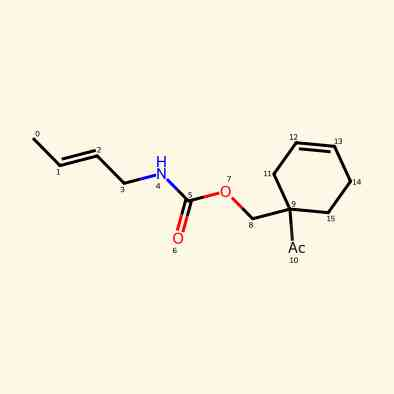 CC=CCNC(=O)OCC1(C(C)=O)CC=CCC1